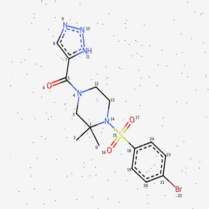 CC1(C)CN(C(=O)c2cnn[nH]2)CCN1S(=O)(=O)c1ccc(Br)cc1